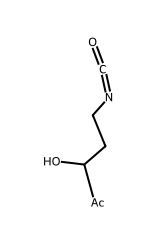 CC(=O)C(O)CCN=C=O